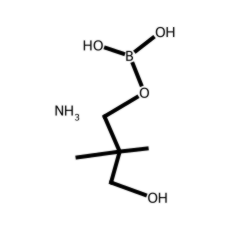 CC(C)(CO)COB(O)O.N